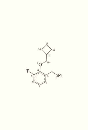 CC(C)Cc1cccc(F)c1OCC1CCC1